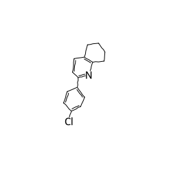 Clc1ccc(-c2ccc3c(n2)CCCC3)cc1